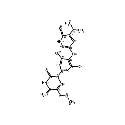 C=C1NC(=O)N(c2cc(Cl)c(Oc3cc(C(C)C)c(=O)[nH]n3)c(Cl)c2)N=C1COC